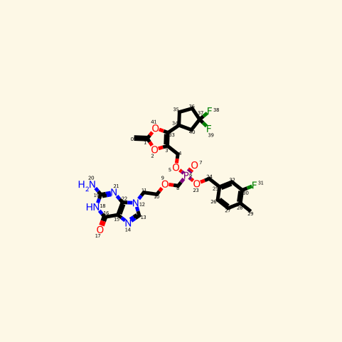 C=C1OC(COP(=O)(COCCn2cnc3c(=O)[nH]c(N)nc32)OCc2ccc(C)c(F)c2)=C(C2CCC(F)(F)C2)O1